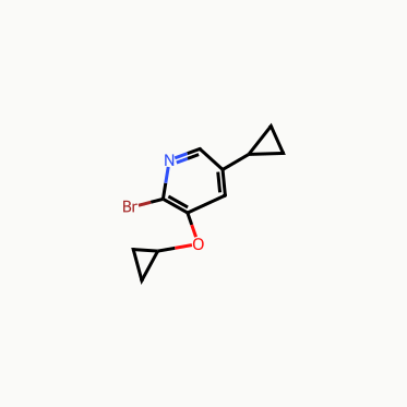 Brc1ncc(C2CC2)cc1OC1CC1